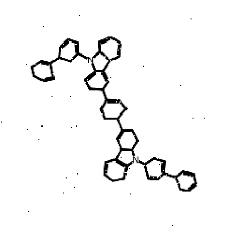 C1=CCC(C2=CCC(N3C4=C(C=CCC4)C4C=C(C5CC=C(C6C=C7C(=CC6)N(C6=CC=CC(C8=CCCC=C8)C6)C6C=CC=CC76)CC5)CCC43)C=C2)C=C1